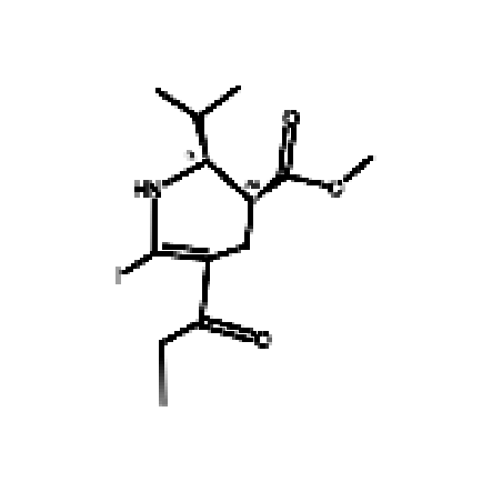 CCC(=O)C1=C(I)N[C@@H](C(C)C)[C@@H](C(=O)OC)C1